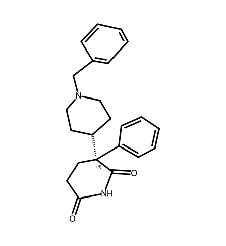 O=C1CC[C@](c2ccccc2)(C2CCN(Cc3ccccc3)CC2)C(=O)N1